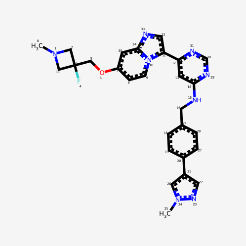 CN1CC(F)(COc2ccn3c(-c4cc(NCc5ccc(-c6cnn(C)c6)cc5)ncn4)cnc3c2)C1